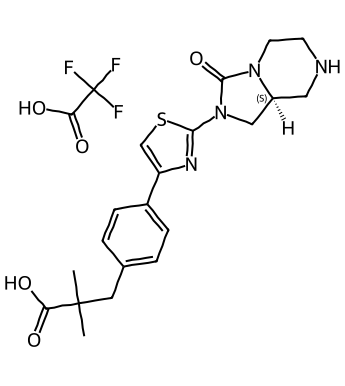 CC(C)(Cc1ccc(-c2csc(N3C[C@@H]4CNCCN4C3=O)n2)cc1)C(=O)O.O=C(O)C(F)(F)F